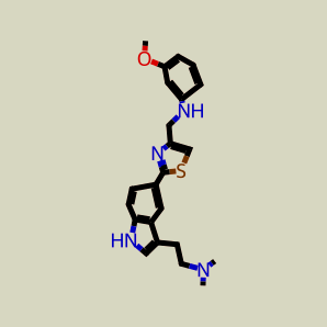 COc1cccc(NCc2csc(-c3ccc4[nH]cc(CCN(C)C)c4c3)n2)c1